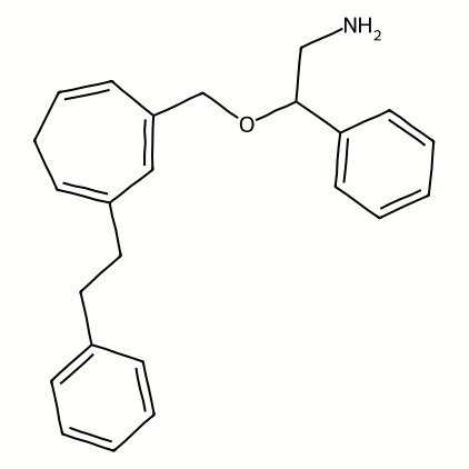 NCC(OCC1=CC(CCc2ccccc2)=CCC=C1)c1ccccc1